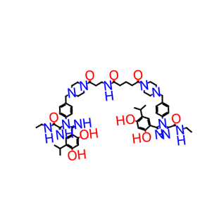 CCNC(=O)C(=N)N(C(=N)c1cc(C(C)C)c(O)cc1O)c1ccc(CN2CCN(C(=O)CCNC(=O)CCCC(=O)N3CCN(Cc4ccc(-n5c(C(=O)NCC)nnc5-c5cc(C(C)C)c(O)cc5O)cc4)CC3)CC2)cc1